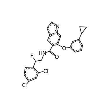 O=C(NCC(F)c1ccc(Cl)cc1Cl)c1cc2ccnn2cc1Oc1cccc(C2CC2)c1